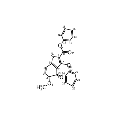 COC1C=Cc2sc(C(=O)Oc3ccccc3)c(Oc3ccccc3)c2C1=O